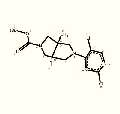 CC(C)(C)OC(=O)N1C[C@@H]2CN(c3nc(Cl)ncc3Cl)C[C@@]2(C)C1